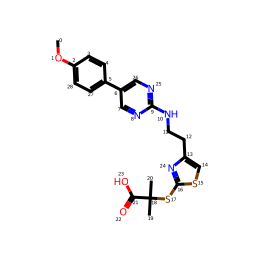 COc1ccc(-c2cnc(NCCc3csc(SC(C)(C)C(=O)O)n3)nc2)cc1